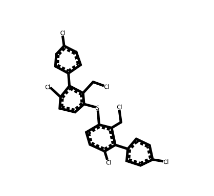 ClCc1c(Sc2ccc(Cl)c(-c3ccc(Cl)cc3)c2CCl)ccc(Cl)c1-c1ccc(Cl)cc1